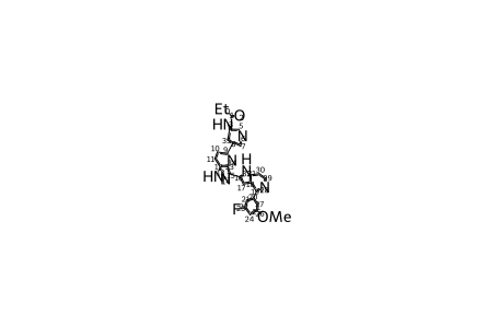 CCC(=O)Nc1cncc(-c2ccc3[nH]nc(-c4cc5c(-c6cc(F)cc(OC)c6)nccc5[nH]4)c3n2)c1